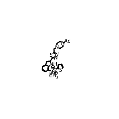 CC(=O)N1CCN(Cc2nnc(-c3cc4cccc(N(C)S(=O)(=O)c5cccs5)c4[nH]3)s2)CC1